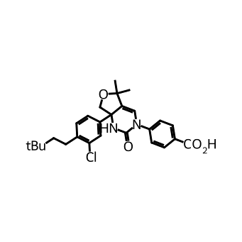 CC(C)(C)CCc1ccc(C23COC(C)(C)C2=CN(c2ccc(C(=O)O)cc2)C(=O)N3)cc1Cl